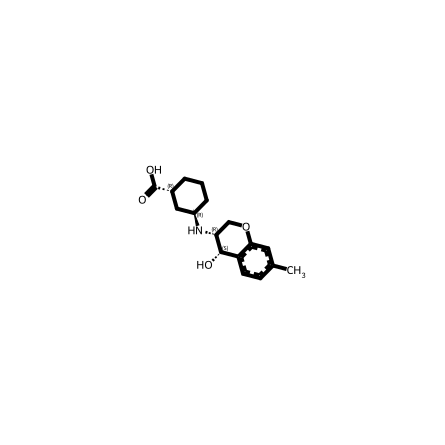 Cc1ccc2c(c1)OC[C@@H](N[C@@H]1CCC[C@@H](C(=O)O)C1)[C@H]2O